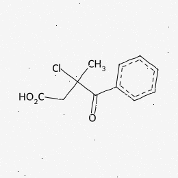 CC(Cl)(CC(=O)O)C(=O)c1ccccc1